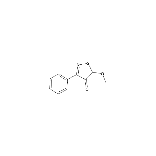 COC1SN=C(c2ccccc2)C1=O